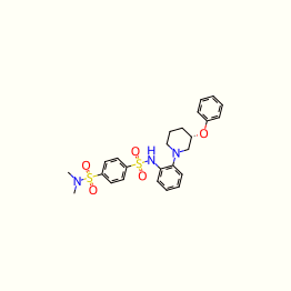 CN(C)S(=O)(=O)c1ccc(S(=O)(=O)Nc2ccccc2N2CCC[C@H](Oc3ccccc3)C2)cc1